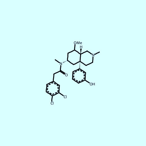 COC1C[C@@H](N(C)C(=O)Cc2ccc(Cl)c(Cl)c2)C[C@]2(c3cccc(O)c3)CCN(C)C[C@@H]12